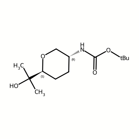 CC(C)(C)OC(=O)N[C@@H]1CC[C@@H](C(C)(C)O)OC1